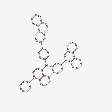 c1ccc(-c2ccc(N(c3ccc(-c4ccc5c(ccc6ccccc65)c4)cc3)c3cc(-c4cc5ccccc5c5ccccc45)ccc3-c3ccccc3)cc2)cc1